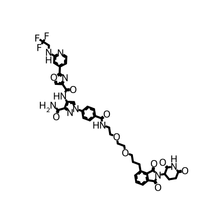 NC(=O)c1nn(-c2ccc(C(=O)NCCOCCOCCCc3cccc4c3C(=O)N(C3CCC(=O)NC3=O)C4=O)cc2)cc1NC(=O)c1coc(-c2ccnc(NCC(F)(F)F)c2)n1